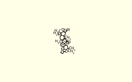 CC1(C)CC[C@]2(CN3CCC3=O)CC[C@]3(C)[C@H](C(=O)C=C4[C@@]5(C)CC(C#N)=C(O)C(C)(C)[C@@H]5CC[C@]43C)[C@@H]2C1